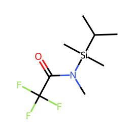 CC(C)[Si](C)(C)N(C)C(=O)C(F)(F)F